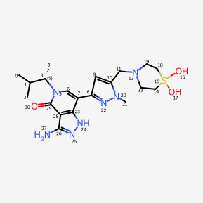 CC(C)[C@H](C)n1cc(-c2cc(CN3CCS(O)(O)CC3)n(C)n2)c2[nH]nc(N)c2c1=O